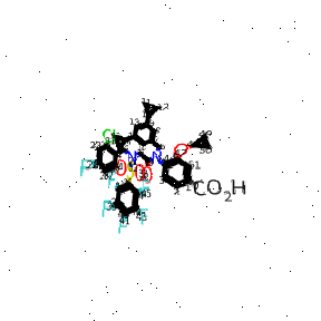 O=C(O)c1ccc(N(Cc2cc(C3CC3)cc(C3CC3)c2)C(=O)CN(Cc2ccc(F)cc2Cl)S(=O)(=O)c2c(F)c(F)c(F)c(F)c2F)c(OC2CC2)c1